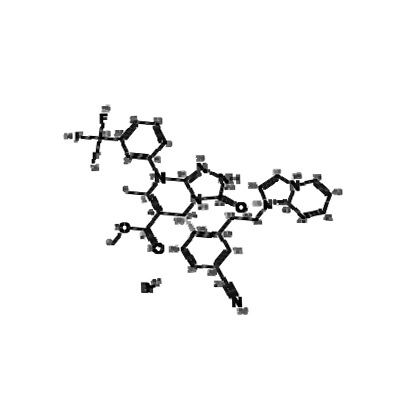 COC(=O)C1=C(C)N(c2cccc(C(F)(F)F)c2)c2n[nH]c(=O)n2[C@@H]1c1ccc(C#N)cc1CC[n+]1ccn2ccccc21.[Br-]